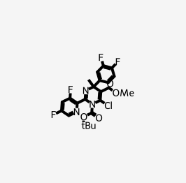 COC(=O)C1=C(Cl)N(C(=O)OC(C)(C)C)C(c2ncc(F)cc2F)=NC1(C)c1ccc(F)c(F)c1